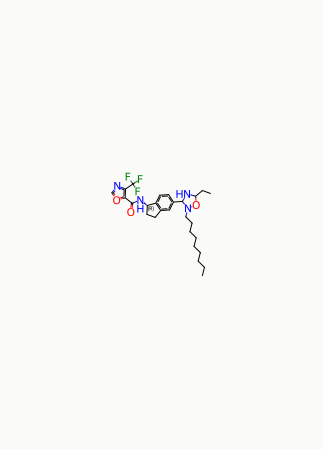 CCCCCCCCCN1OC(CC)NC1c1ccc2c(c1)CC[C@H]2NC(=O)c1ocnc1C(F)(F)F